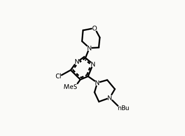 CCCCN1CCN(c2nc(N3CCOCC3)nc(Cl)c2SC)CC1